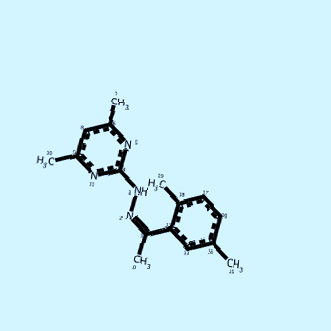 CC(=NNc1nc(C)cc(C)n1)c1cc(C)ccc1C